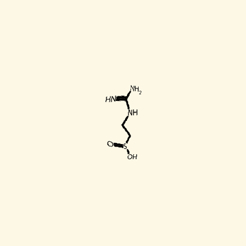 N=C(N)NCCS(=O)O